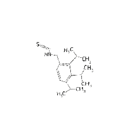 CC(C)c1ccc(CN[C]=S)c(C(C)C)c1C(C)C